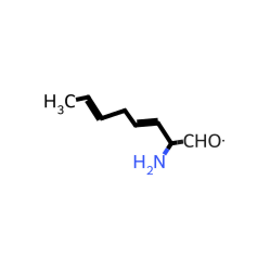 CC=CCC=CC(N)[C]=O